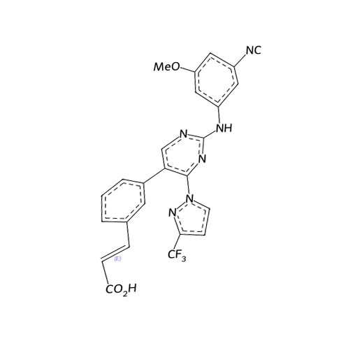 [C-]#[N+]c1cc(Nc2ncc(-c3cccc(/C=C/C(=O)O)c3)c(-n3ccc(C(F)(F)F)n3)n2)cc(OC)c1